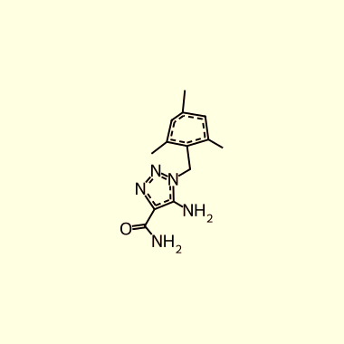 Cc1cc(C)c(Cn2nnc(C(N)=O)c2N)c(C)c1